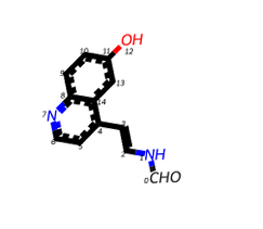 O=CNC=Cc1ccnc2ccc(O)cc12